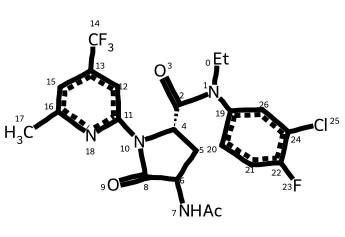 CCN(C(=O)[C@@H]1CC(NC(C)=O)C(=O)N1c1cc(C(F)(F)F)cc(C)n1)c1ccc(F)c(Cl)c1